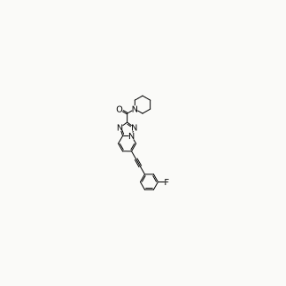 O=C(c1nc2ccc(C#Cc3cccc(F)c3)cn2n1)N1CCCCC1